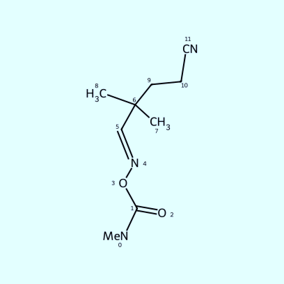 CNC(=O)ON=CC(C)(C)CCC#N